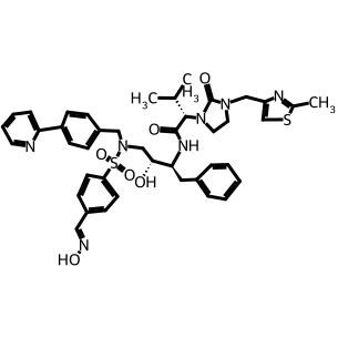 Cc1nc(CN2CCN([C@H](C(=O)N[C@@H](Cc3ccccc3)[C@H](O)CN(Cc3ccc(-c4ccccn4)cc3)S(=O)(=O)c3ccc(/C=N/O)cc3)C(C)C)C2=O)cs1